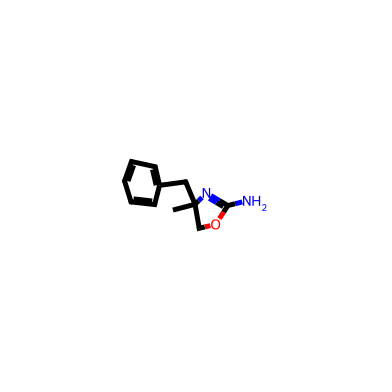 CC1(Cc2ccccc2)COC(N)=N1